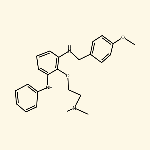 COc1ccc(CNc2cccc(Nc3ccccc3)c2OCCN(C)C)cc1